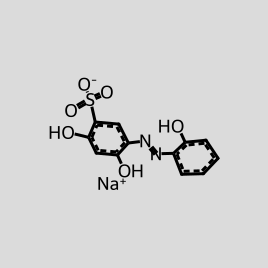 O=S(=O)([O-])c1cc(N=Nc2ccccc2O)c(O)cc1O.[Na+]